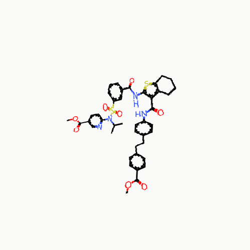 COC(=O)c1ccc(CCc2ccc(NC(=O)c3c(NC(=O)c4cccc(S(=O)(=O)N(c5ccc(C(=O)OC)cn5)C(C)C)c4)sc4c3CCCC4)cc2)cc1